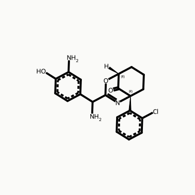 Nc1cc(C(N)C2=N[C@@]3(c4ccccc4Cl)CCC[C@@H](O2)C3=O)ccc1O